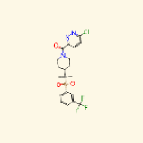 CC(C)(C1CCN(C(=O)c2ccc(Cl)nn2)CC1)S(=O)(=O)c1cccc(C(F)(F)F)c1